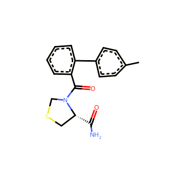 Cc1ccc(-c2ccccc2C(=O)N2CSC[C@H]2C(N)=O)cc1